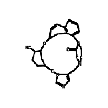 N#CC1CCC2CC1OC1C=Cc3cccc(c3C1)N1CCN(CC1=O)Cc1cncn1C2